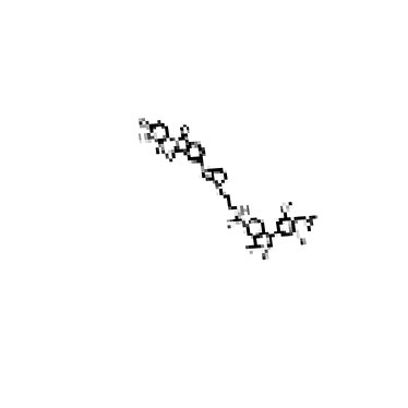 COc1cc(-c2cn(C)c(=O)c3c2CCN(C(=O)NCCCN2CCC4C2CN4c2ccc4c(c2)C(=O)N(C2CCC(=O)NC2=O)C4=O)C3)cc(OC)c1CN(C)C